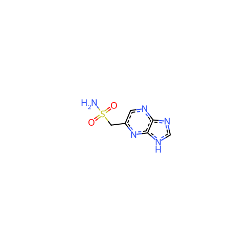 NS(=O)(=O)Cc1cnc2nc[nH]c2n1